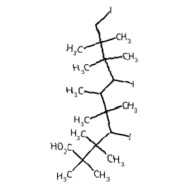 CC(C(I)C(C)(C)C(C)(C)CI)C(C)(C)C(I)C(C)(C)C(C)(C)C(=O)O